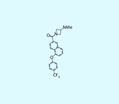 CNC1CN(C(=O)c2ccc3c(Oc4ccc(C(F)(F)F)cc4)cccc3c2)C1